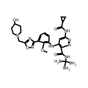 BC(B)(B)NC(=O)c1nnc(NC(=O)C2CC2)cc1Nc1cccc(-c2noc(CN3CCC(O)CC3)n2)c1OC